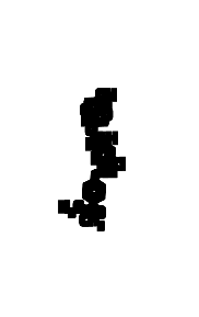 CN(C)C(=O)c1ccc(CNc2nc3nc(O[C@@H]4CO[C@H]5[C@@H]4OC[C@H]5O)[nH]c3cc2Cl)cc1